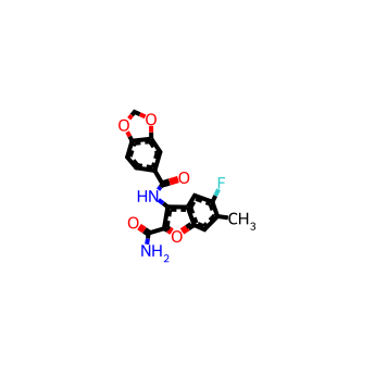 Cc1cc2oc(C(N)=O)c(NC(=O)c3ccc4c(c3)OCO4)c2cc1F